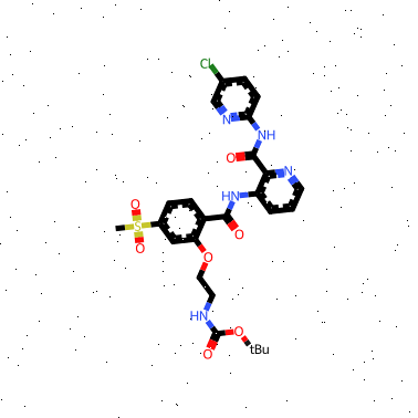 CC(C)(C)OC(=O)NCCOc1cc(S(C)(=O)=O)ccc1C(=O)Nc1cccnc1C(=O)Nc1ccc(Cl)cn1